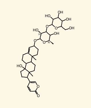 C[C@H]1OC(OC2C=C3CCC4C(CCC5(C)C(c6ccc(=O)oc6)CCC45O)C3(C)CC2)[C@@H](O)C(OC2OC(CO)C(O)C(O)C2O)C1O